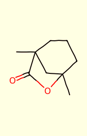 CC12CCCC(C)(C1)C(=O)O2